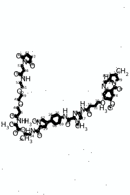 C=C1C[C@H]2C=Nc3cc(OCCCC(=O)Nc4cn(C)c(C(=O)Nc5ccc(-c6cc(C(=O)NC[C@H](C)OC(=O)C(C)NC(=O)CCOCCOCCNC(=O)CCN7C(=O)C=CC7=O)n(C)c6)cc5)n4)c(OC)cc3C(=O)N2C1